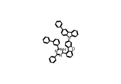 c1ccc(C2=NC(c3cccc4oc5cc(-n6c7ccccc7c7cc(-c8ccccc8)ccc76)ccc5c34)NC(c3cccc(-c4ccccc4)c3)=N2)cc1